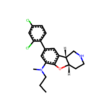 CCCN(C)c1cc(-c2ccc(Cl)cc2Cl)cc2c1O[C@H]1CCNC[C@@H]21